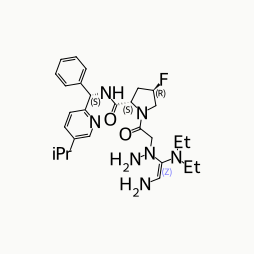 CCN(CC)/C(=C/N)N(N)CC(=O)N1C[C@H](F)C[C@H]1C(=O)N[C@@H](c1ccccc1)c1ccc(C(C)C)cn1